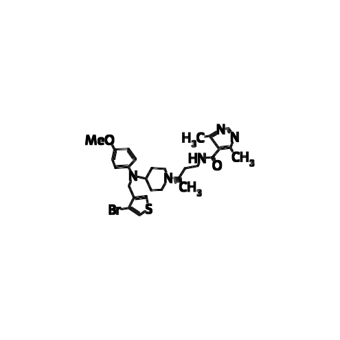 COc1ccc(N(Cc2cscc2Br)C2CCN([C@H](C)CCNC(=O)c3c(C)ncnc3C)CC2)cc1